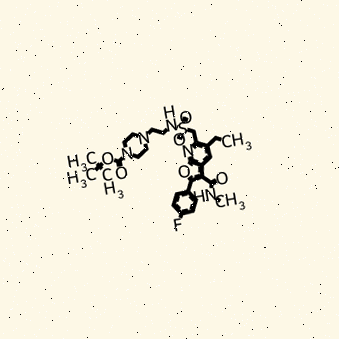 CCc1cc2c(C(=O)NC)c(-c3ccc(F)cc3)oc2nc1CS(=O)(=O)NCCN1CCN(C(=O)OC(C)(C)C)CC1